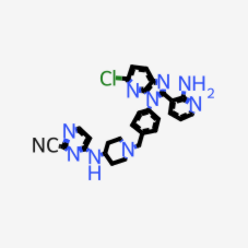 N#Cc1nccc(NC2CCN(Cc3ccc(-n4c(-c5cccnc5N)nc5ccc(Cl)nc54)cc3)CC2)n1